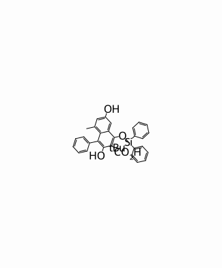 Cc1cc(O)cc2c(O[Si](c3ccccc3)(c3ccccc3)C(C)(C)C)c(C(=O)O)c(O)c(-c3ccccc3)c12